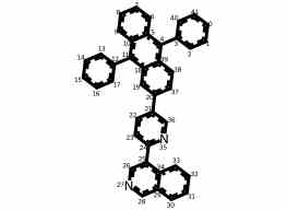 c1ccc(-c2c3ccccc3c(-c3ccccc3)c3cc(-c4ccc(-c5cncc6ccccc56)nc4)ccc23)cc1